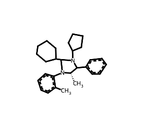 Cc1ccccc1N1C(C2CCCCC2)N(C2CCCC2)C(c2ccccc2)[C@@H]1C